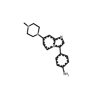 CN1CCN(c2ccn3c(-c4ccc(N)cc4)cnc3c2)CC1